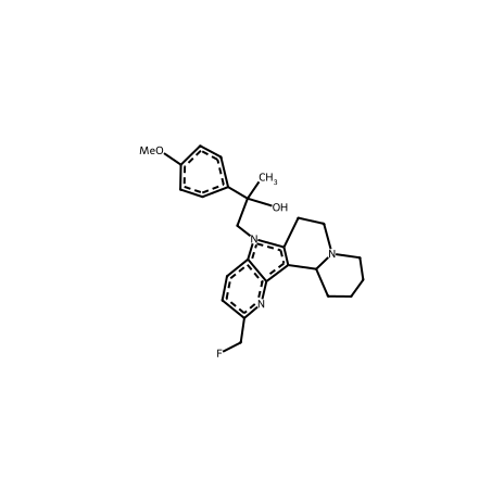 COc1ccc(C(C)(O)Cn2c3c(c4nc(CF)ccc42)C2CCCCN2CC3)cc1